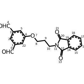 O=Cc1cc(C=O)cc(OCCCN2C(=O)c3ccccc3C2=O)c1